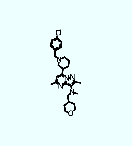 Cc1cc(C2CCCN(Cc3ccc(Cl)cc3)C2)n2nc(C)c(N(C)CC3CCOCC3)c2n1